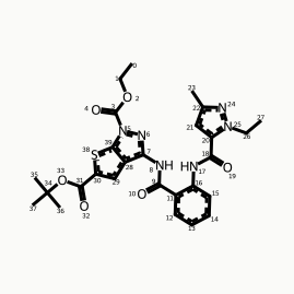 CCOC(=O)n1nc(NC(=O)c2ccccc2NC(=O)c2cc(C)nn2CC)c2cc(C(=O)OC(C)(C)C)sc21